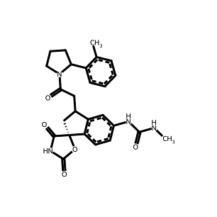 CNC(=O)Nc1ccc2c(c1)C(CC(=O)N1CCCC1c1ccccc1C)C[C@@]21OC(=O)NC1=O